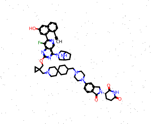 C#Cc1cccc2cc(O)cc(-c3ncc4c(N5CC6CCC(C5)N6)nc(OCC5(CN6CCC7(CCC(CN8CCN(c9ccc%10c(c9)CN([C@H]9CCC(=O)NC9=O)C%10=O)CC8)CC7)CC6)CC5)nc4c3F)c12